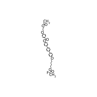 C=CC(=O)OCCCOc1ccc(C(=O)Oc2ccc(-c3ccc(-c4ccc(OCCCCCCOC(=O)C(=C)F)cc4)cc3)cc2)cc1